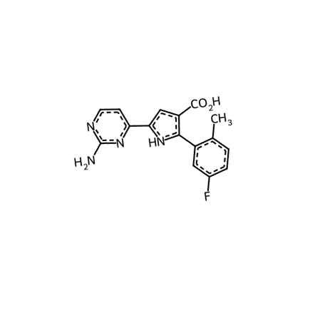 Cc1ccc(F)cc1-c1[nH]c(-c2ccnc(N)n2)cc1C(=O)O